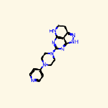 c1cc(N2CCN(c3nc4c5c(n[nH]c5n3)CCN4)CC2)ccn1